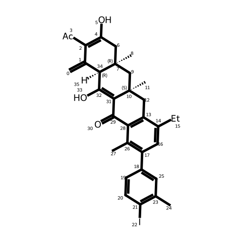 C=C1C(C(C)=O)=C(O)C[C@@]2(C)C[C@@]3(C)Cc4c(CC)cc(-c5ccc(I)c(C)c5)c(C)c4C(=O)C3=C(O)[C@@H]12